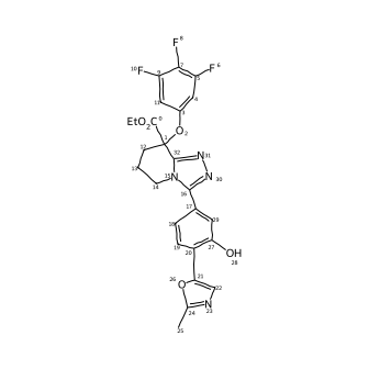 CCOC(=O)C1(Oc2cc(F)c(F)c(F)c2)CCCn2c(-c3ccc(-c4cnc(C)o4)c(O)c3)nnc21